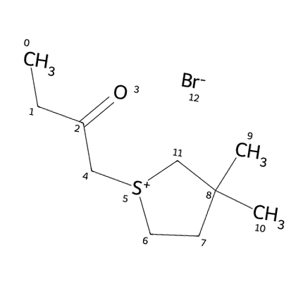 CCC(=O)C[S+]1CCC(C)(C)C1.[Br-]